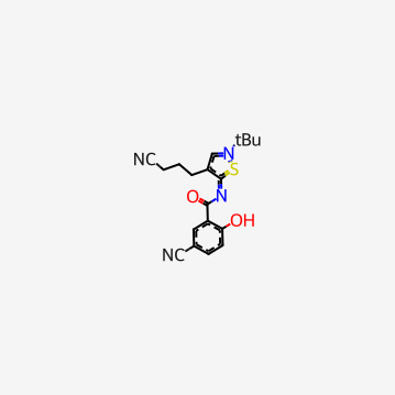 CC(C)(C)n1cc(CCCC#N)c(=NC(=O)c2cc(C#N)ccc2O)s1